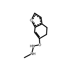 CNNOC1=Cc2occc2CC1